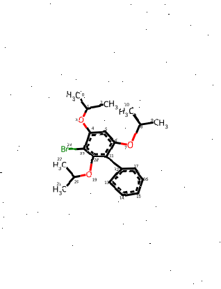 CC(C)Oc1cc(OC(C)C)c(-c2ccccc2)c(OC(C)C)c1Br